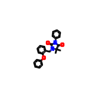 CC1(C)C(=O)N(c2ccccc2)C(=O)N1Cc1ccccc1Oc1ccccc1